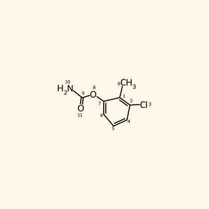 Cc1c(Cl)cccc1OC(N)=O